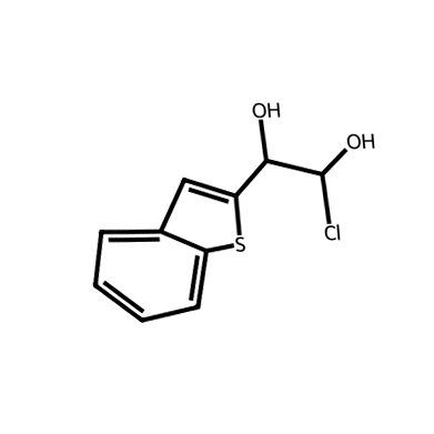 OC(Cl)C(O)c1cc2ccccc2s1